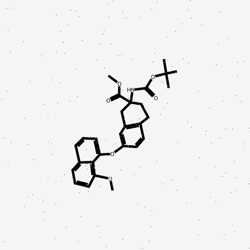 COC(=O)C1(NC(=O)OC(C)(C)C)CCc2ccc(Oc3cccc4cccc(OC)c34)cc2C1